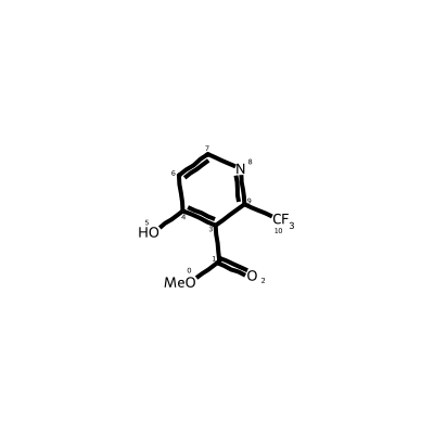 COC(=O)c1c(O)ccnc1C(F)(F)F